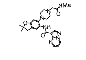 CNC(=O)CN1CCN(c2cc3c(cc2NC(=O)c2cnn4cccnc24)CC(C)(C)O3)CC1